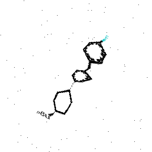 CCCC[C@H]1CC[C@H](c2ccc(-c3ccc(F)cc3)cc2)CC1